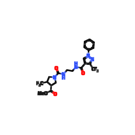 COC(=O)C1CN(C(=O)NCCNC(=O)c2cn(-c3ccccc3)nc2C(F)(F)F)CC1C(F)(F)F